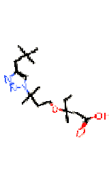 CCC(C)(CC(=O)O)OCCC(C)(C)n1cc(CC(C)(C)C)nn1